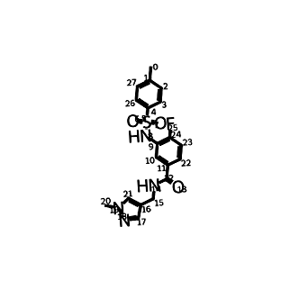 Cc1ccc(S(=O)(=O)Nc2cc(C(=O)NCc3cnn(C)c3)ccc2F)cc1